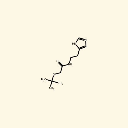 CC(C)(C)OCC(=O)NCCc1cnc[nH]1